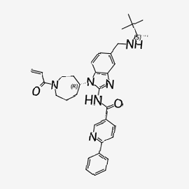 C=CC(=O)N1CCC[C@@H](n2c(NC(=O)c3ccc(-c4ccccc4)nc3)nc3cc(CN[C@@H](C)C(C)(C)C)ccc32)CC1